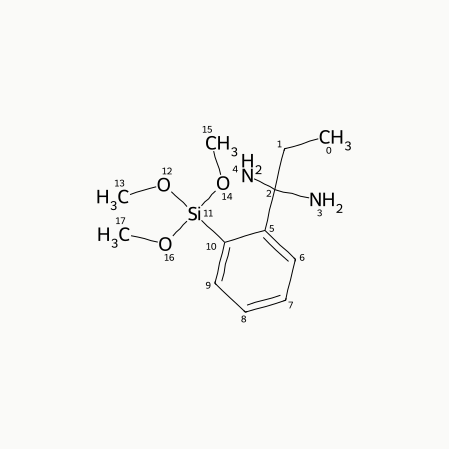 CCC(N)(N)c1ccccc1[Si](OC)(OC)OC